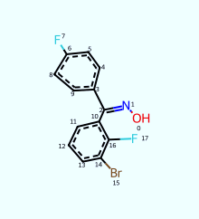 ON=C(c1ccc(F)cc1)c1cccc(Br)c1F